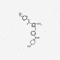 Cc1cc(C(F)=Cc2ccc(SC(F)(F)F)cc2)nn1Cc1cccc(C(=O)N2CCC(O)CC2)c1